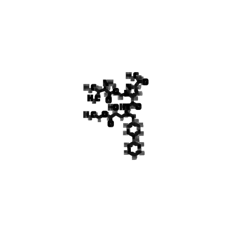 CCOC(=O)C(O)CN(Cc1ccc(-c2ccccc2)cc1)NC(=O)c1cc(C(C)=O)nn1COC(=O)C(N)C(C)C